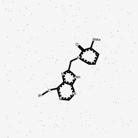 CNc1cccn(Cc2nc3c(CC(C)C)ncnc3[nH]2)c1=O